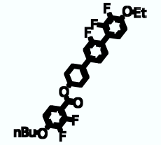 CCCCOc1ccc(C(=O)OC2CC=C(c3ccc(-c4ccc(OCC)c(F)c4F)c(F)c3)CC2)c(F)c1F